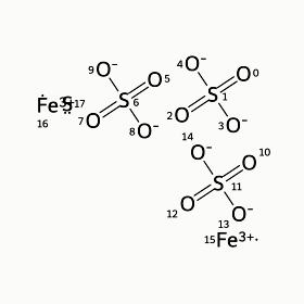 O=S(=O)([O-])[O-].O=S(=O)([O-])[O-].O=S(=O)([O-])[O-].[Fe+3].[Fe+3].[S]